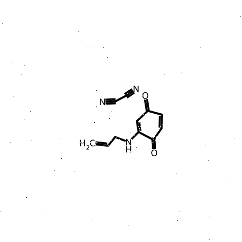 C=CCNC1=CC(=O)C=CC1=O.N#CC#N